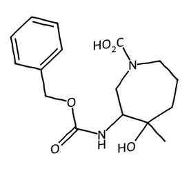 CC1(O)CCCN(C(=O)O)CC1NC(=O)OCc1ccccc1